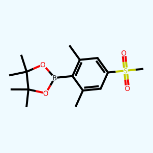 Cc1cc(S(C)(=O)=O)cc(C)c1B1OC(C)(C)C(C)(C)O1